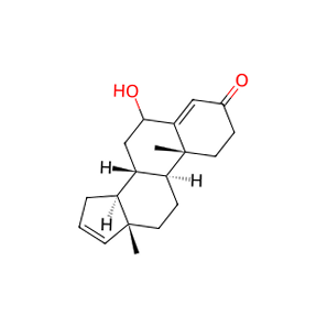 C[C@@]12C=CC[C@H]1[C@@H]1CC(O)C3=CC(=O)CC[C@]3(C)[C@H]1CC2